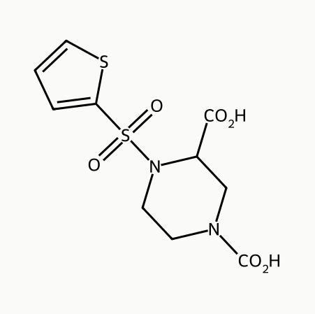 O=C(O)C1CN(C(=O)O)CCN1S(=O)(=O)c1cccs1